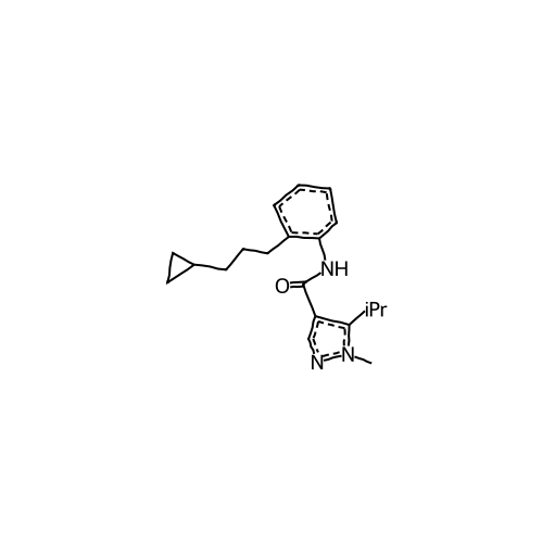 CC(C)c1c(C(=O)Nc2ccccc2CCCC2CC2)cnn1C